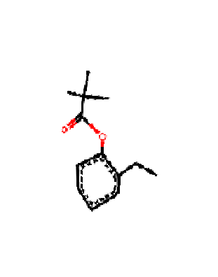 CCc1ccccc1OC(=O)C(C)(C)C